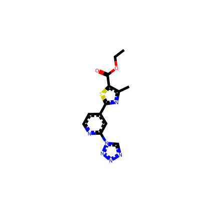 CCOC(=O)c1sc(-c2ccnc(-n3cnnn3)c2)nc1C